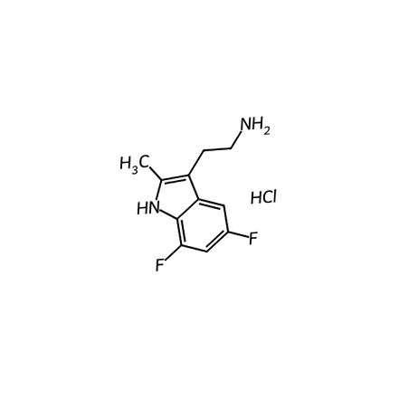 Cc1[nH]c2c(F)cc(F)cc2c1CCN.Cl